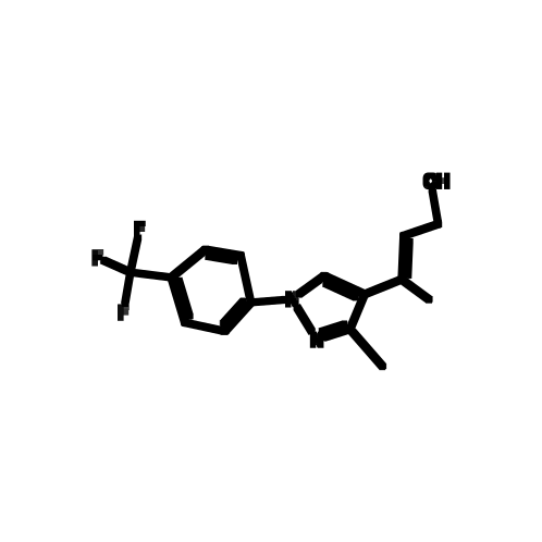 CC(=CCO)c1cn(-c2ccc(C(F)(F)F)cc2)nc1C